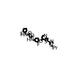 CC(C)n1cnc(-c2cc3nccc(Oc4ccc(NC(=O)CC(=O)Nc5ccccc5F)cc4F)c3s2)c1